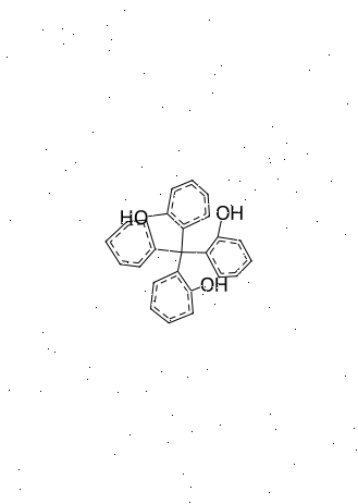 Oc1ccccc1C(c1ccccc1)(c1ccccc1O)c1ccccc1O